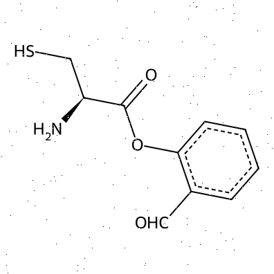 N[C@@H](CS)C(=O)Oc1ccccc1C=O